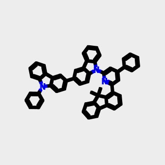 CC1(C)c2ccccc2-c2cccc(-c3cc(-c4ccccc4)cc(-n4c5ccccc5c5cc(-c6ccc7c(c6)c6ccccc6n7-c6ccccc6)ccc54)n3)c21